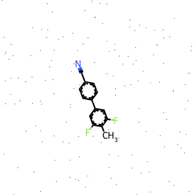 Cc1c(F)cc(-c2ccc(C#N)cc2)cc1F